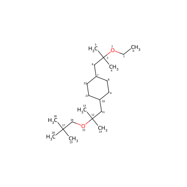 CCOC(C)(C)CC1CCC(CC(C)(C)OCC(C)(C)C)CC1